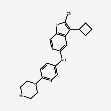 N#Cc1sc2cnc(Nc3ccc(N4CCNCC4)nc3)cc2c1C1CCC1